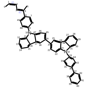 C/C=C\C=C(/C)c1ccc(-n2c3ccccc3c3cc(-c4ccc5c(c4)c4ccccc4n5-c4ccc(-c5ccccc5)cc4)ccc32)cc1